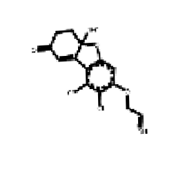 CCCC12CCC(=O)C=C1c1c(cc(OCC=N)c(Cl)c1Cl)O2